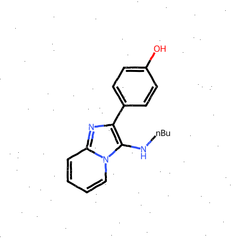 CCCCNc1c(-c2ccc(O)cc2)nc2ccccn12